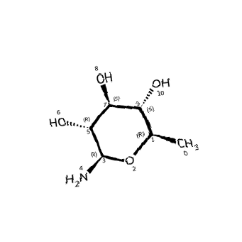 C[C@H]1O[C@@H](N)[C@H](O)[C@@H](O)[C@@H]1O